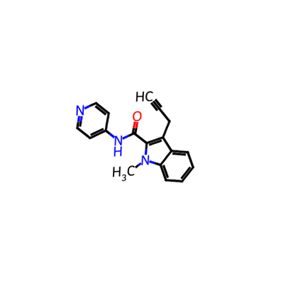 C#CCc1c(C(=O)Nc2ccncc2)n(C)c2ccccc12